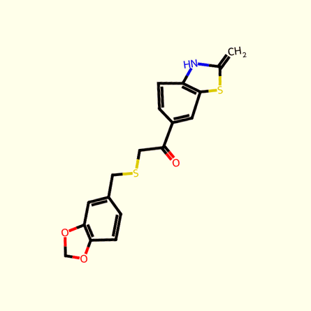 C=C1Nc2ccc(C(=O)CSCc3ccc4c(c3)OCO4)cc2S1